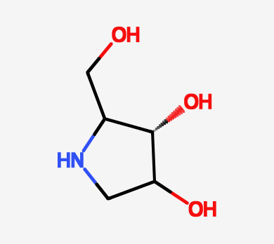 OCC1NCC(O)[C@H]1O